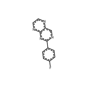 Fc1ccc(-c2ncc3nccnc3n2)cc1